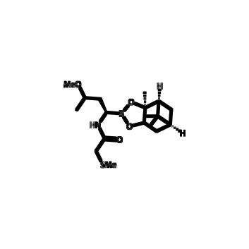 COC(C)C[C@H](NC(=O)CSC)B1OC2C[C@@H]3C[C@@H](C3(C)C)[C@]2(C)O1